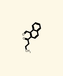 CCCC(=O)c1ccc2ccccc2c1[C]=O